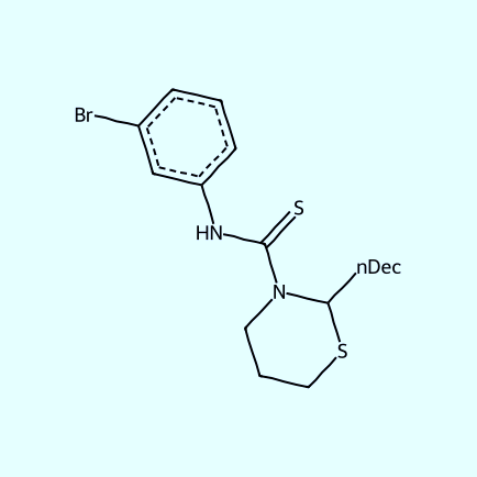 CCCCCCCCCCC1SCCCN1C(=S)Nc1cccc(Br)c1